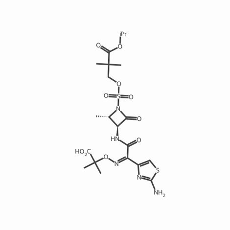 CC(C)OC(=O)C(C)(C)COS(=O)(=O)N1C(=O)[C@@H](NC(=O)C(=NOC(C)(C)C(=O)O)c2csc(N)n2)[C@@H]1C